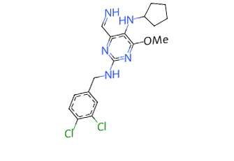 COc1nc(NCc2ccc(Cl)c(Cl)c2)nc(C=N)c1NC1CCCC1